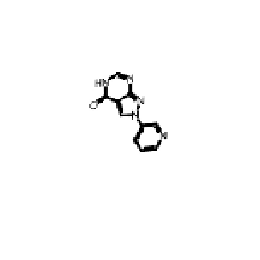 O=c1[nH]cnc2nn(-c3cccnc3)cc12